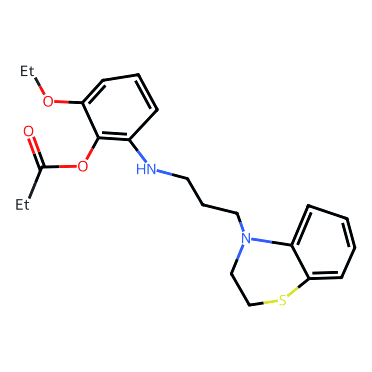 CCOc1cccc(NCCCN2CCSc3ccccc32)c1OC(=O)CC